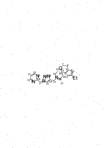 CCc1cc2c(s1)CCO[C@@]21CCN(Cc2cn(Cc3ncccn3)nn2)[C@@H](C)C1